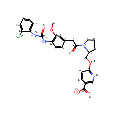 COc1cc(CC(=O)N2CCC[C@H]2COc2ccc(C(=O)O)cn2)ccc1NC(=O)Nc1ccccc1Cl